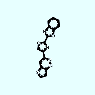 c1ccc2oc(-c3nc(-c4cc5sccc5nn4)co3)nc2c1